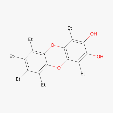 CCc1c(CC)c(CC)c2c(c1CC)Oc1c(CC)c(O)c(O)c(CC)c1O2